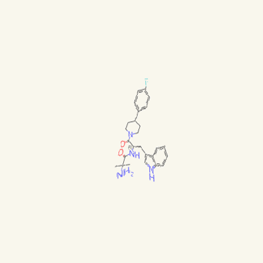 CC(C)(N)C(=O)N[C@H](Cc1c[nH]c2ccccc12)C(=O)N1CCC(c2ccc(F)cc2)CC1